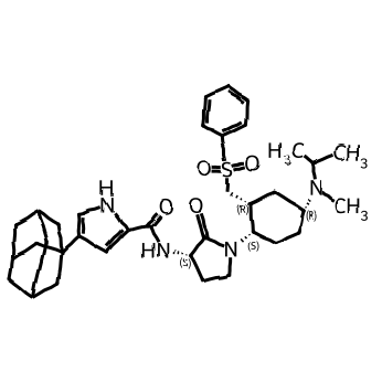 CC(C)N(C)[C@@H]1CC[C@H](N2CC[C@H](NC(=O)c3cc(C45CC6CC(CC(C6)C4)C5)c[nH]3)C2=O)[C@H](CS(=O)(=O)c2ccccc2)C1